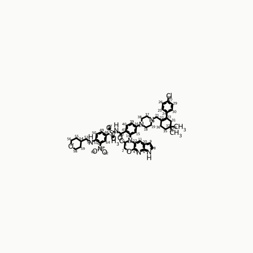 CC1COc2nc3[nH]ccc3cc2N1c1cc(N2CCN(CC3=C(c4ccc(Cl)cc4)CC(C)(C)CC3)CC2)ccc1C(=O)NS(=O)(=O)c1ccc(NCC2CCOCC2)c([N+](=O)[O-])c1